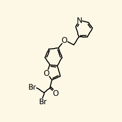 O=C(c1cc2cc(OCc3cccnc3)ccc2o1)C(Br)Br